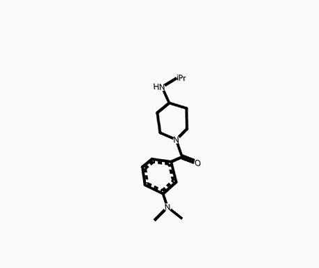 CC(C)NC1CCN(C(=O)c2cccc(N(C)C)c2)CC1